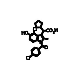 Cc1c(C(C(=O)O)C2CCCC2)c2c(Cl)c(O)ccc2n1C(=O)c1ccc(Cl)cc1